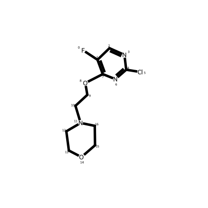 Fc1cnc(Cl)nc1OCCN1CCOCC1